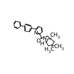 CC1(C)C[C@@H]2C[C@@](C)(CN2C(=O)c2cccc(-c3ccc(-c4ccccc4)cc3)n2)C1